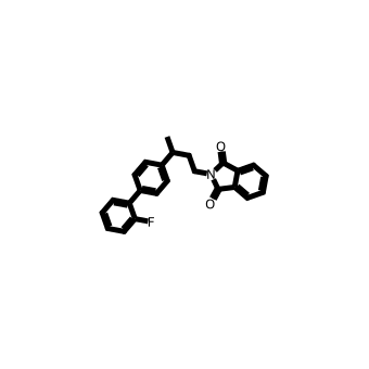 CC(CCN1C(=O)c2ccccc2C1=O)c1ccc(-c2ccccc2F)cc1